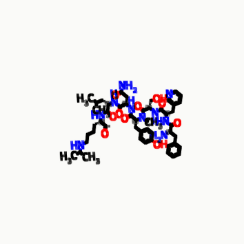 CC(C)C[C@H](NC(=O)[C@@H](CC(N)=O)NC(=O)[C@H](Cc1ccc(O)cc1)N(C)C(=O)[C@H](CO)NC(=O)[C@@H](Cc1cccnc1)NC(=O)[C@@H](N)Cc1ccccc1)C(=O)N[C@H]([C]=O)CCCCNC(C)C